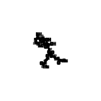 CC(C)(C)C(=O)CCCOP(=O)(OCCSC(=O)C(C)(C)C)OC[C@H]1O[C@@](C#N)(c2ccc3c(N)ncnn23)[C@H](O)[C@@H]1O